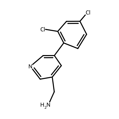 NCc1cncc(-c2ccc(Cl)cc2Cl)c1